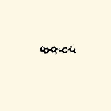 CC(C)CC(=O)N1CCC(COc2ccc(-c3ccc4ccsc4c3)cc2F)CC1